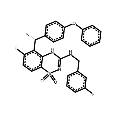 C[C@H](c1ccc(Oc2ccccc2)cc1)c1c(F)ccc2c1NC(NCc1cccc(F)c1)=NS2(=O)=O